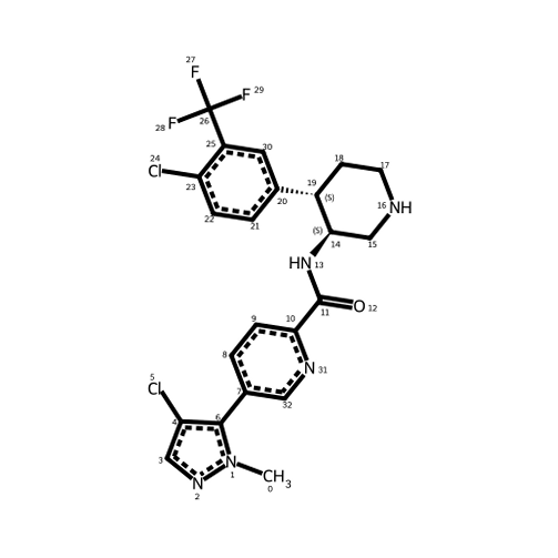 Cn1ncc(Cl)c1-c1ccc(C(=O)N[C@@H]2CNCC[C@H]2c2ccc(Cl)c(C(F)(F)F)c2)nc1